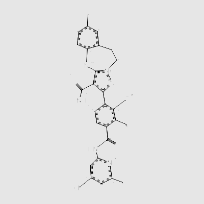 Cc1ccc2c(c1)CCn1nc(-c3ccc(C(=O)Nc4cc(Cl)cc(C)n4)c(C)c3F)c(C(N)=O)c1N2